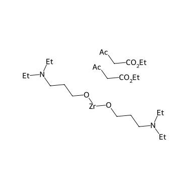 CCN(CC)CCC[O][Zr][O]CCCN(CC)CC.CCOC(=O)CC(C)=O.CCOC(=O)CC(C)=O